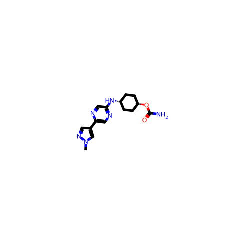 Cn1cc(-c2cnc(N[C@H]3CC[C@H](OC(N)=O)CC3)cn2)cn1